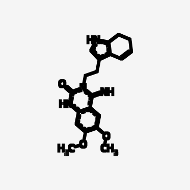 COc1cc2[nH]c(=O)n(CCc3c[nH]c4c3C=CCC4)c(=N)c2cc1OC